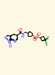 O=C(NCc1ccc(S(=O)(=O)C2CC(F)(F)C2)cc1)c1cnc2[nH]ncc2c1